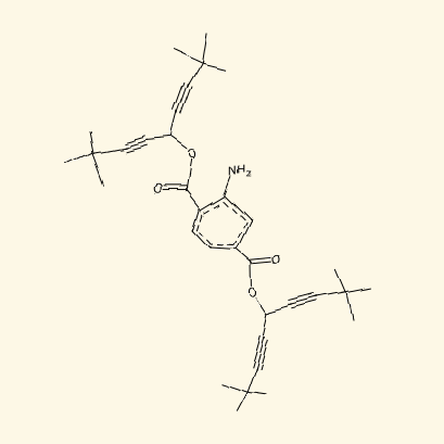 CC(C)(C)C#CC(C#CC(C)(C)C)OC(=O)c1ccc(C(=O)OC(C#CC(C)(C)C)C#CC(C)(C)C)c(N)c1